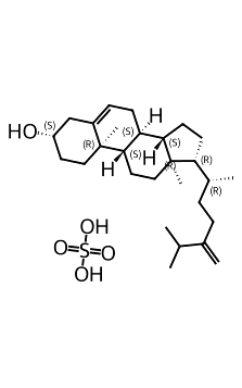 C=C(CC[C@@H](C)[C@H]1CC[C@H]2[C@@H]3CC=C4C[C@@H](O)CC[C@]4(C)[C@H]3CC[C@]12C)C(C)C.O=S(=O)(O)O